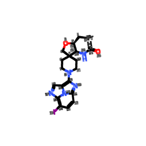 CC(C)C[C@@H]1OCC2(CCN(c3nc4ccc(I)c5ncc3n45)CC2)[C@@H]1N[SiH]=O